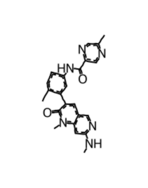 CNc1cc2c(cn1)cc(-c1cc(NC(=O)c3cnc(C)cn3)ccc1C)c(=O)n2C